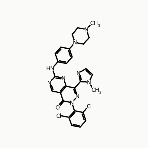 CN1CCN(c2ccc(Nc3ncc4c(=O)n(-c5c(Cl)cccc5Cl)nc(-c5nccn5C)c4n3)cc2)CC1